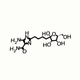 NC(=O)c1nc(CCCC[C@@]2(O)O[C@H](CO)[C@@H](O)[C@H]2O)[nH]c1N